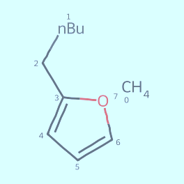 C.CCCCCc1ccco1